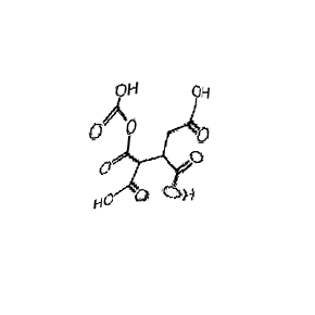 O=C(O)CC(C(=O)O)C(C(=O)O)C(=O)OC(=O)O